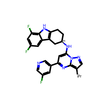 CC(C)c1cnn2c(N[C@@H]3CCc4[nH]c5c(F)cc(F)cc5c4C3)cc(-c3cncc(F)c3)nc12